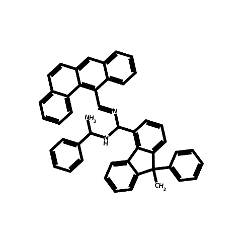 CC1(c2ccccc2)c2ccccc2-c2c(C(/N=C/c3c4ccccc4cc4ccc5ccccc5c34)NC(N)c3ccccc3)cccc21